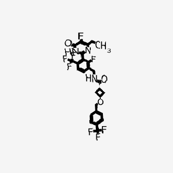 CCc1nc(-c2c(C(F)(F)F)ccc(CNC(=O)[C@H]3C[C@H](OCc4ccc(C(F)(F)F)cc4)C3)c2F)[nH]c(=O)c1F